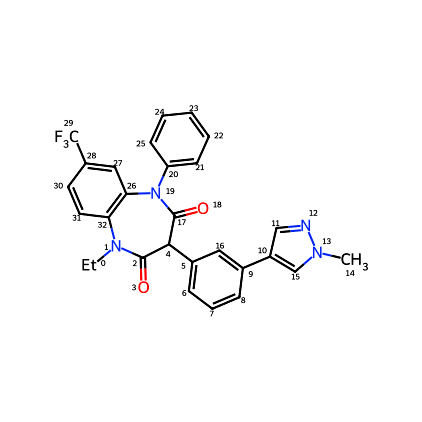 CCN1C(=O)C(c2cccc(-c3cnn(C)c3)c2)C(=O)N(c2ccccc2)c2cc(C(F)(F)F)ccc21